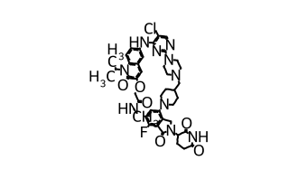 CNC(=O)COc1cc2cc(Nc3nc(N4CCN(CC5CCN(c6ccc(F)c7c6CN(C6CCC(=O)NC6=O)C7=O)CC5)CC4)ncc3Cl)ccc2n(C(C)C)c1=O